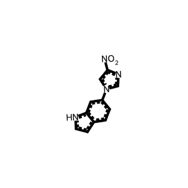 O=[N+]([O-])c1cn(-c2ccc3cc[nH]c3c2)cn1